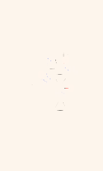 CCc1nc(CC(C)C)c(C(N)=O)c(-c2ccc(C(=O)NCc3ccc(F)c(F)c3)cc2)c1-c1nnc(C)o1